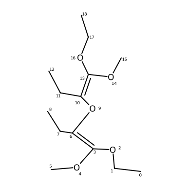 CCOC(OC)=C(CC)OC(CC)=C(OC)OCC